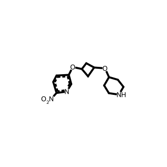 O=[N+]([O-])c1ccc(OC2CC(OC3CCNCC3)C2)cn1